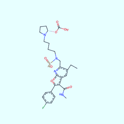 CCc1cc2c(C(=O)NC)c(-c3ccc(F)cc3)oc2nc1CN(CCCCN1CCC[C@@H]1OC(=O)O)[SH](=O)=O